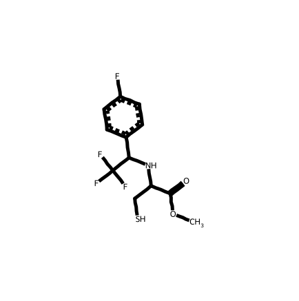 COC(=O)C(CS)NC(c1ccc(F)cc1)C(F)(F)F